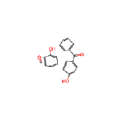 C=O.O=C(c1ccccc1)c1ccc(O)cc1.Oc1ccccc1